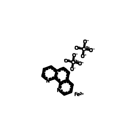 [Fe+2].[O-][Cl+3]([O-])([O-])[O-].[O-][Cl+3]([O-])([O-])[O-].c1cnc2c(c1)ccc1cccnc12